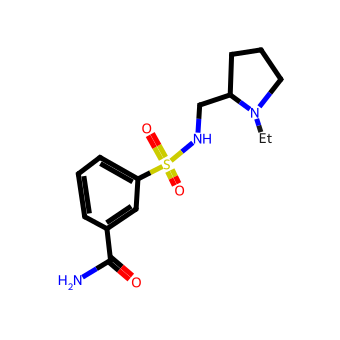 CCN1CCCC1CNS(=O)(=O)c1cccc(C(N)=O)c1